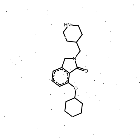 O=C1c2c(cccc2OC2CCCCC2)CN1CC1CCNCC1